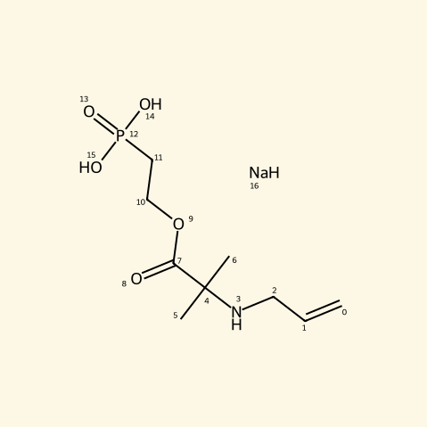 C=CCNC(C)(C)C(=O)OCCP(=O)(O)O.[NaH]